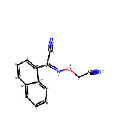 N#CCON=C(C#N)c1cccc2ccccc12